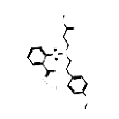 COc1ccc(CCN(CCC(=O)NO)S(=O)(=O)c2ccccc2/C(N)=N/O)cc1